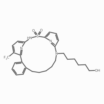 O=S1(=O)Nc2ccc(C(F)(F)F)c(n2)-c2ccccc2CCCCCN(CCCCCCO)c2cccc1n2